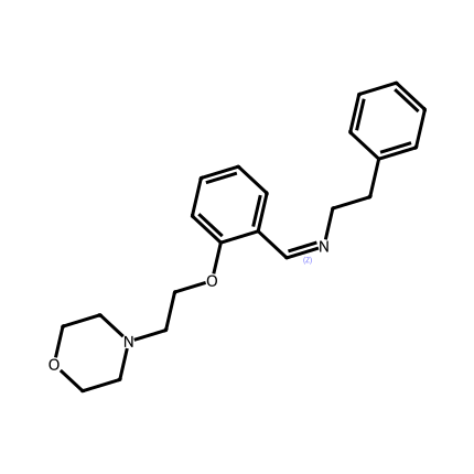 C(=N/CCc1ccccc1)/c1ccccc1OCCN1CCOCC1